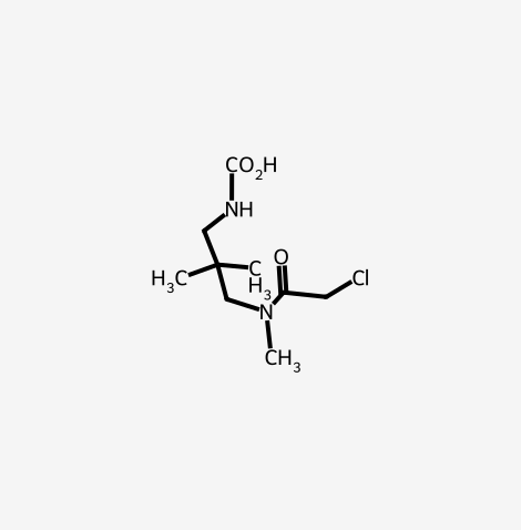 CN(CC(C)(C)CNC(=O)O)C(=O)CCl